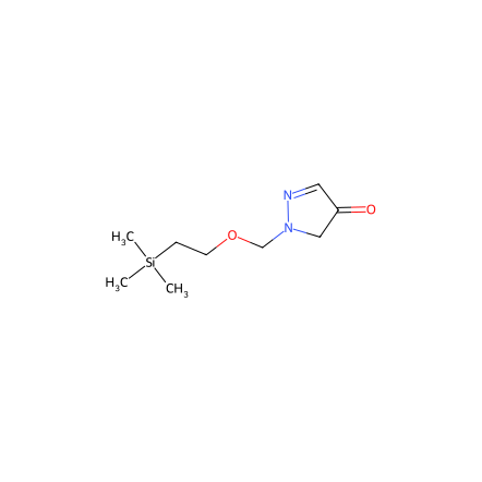 C[Si](C)(C)CCOCN1CC(=O)C=N1